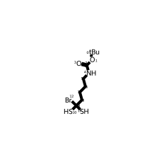 CC(C)(C)OC(=O)NCCCCC(S)(S)Br